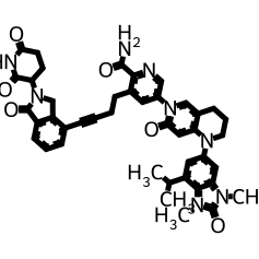 CC(C)c1cc(N2CCCc3cn(-c4cnc(C(N)=O)c(CCC#Cc5cccc6c5CN(C5CCC(=O)NC5=O)C6=O)c4)c(=O)cc32)cc2c1n(C)c(=O)n2C